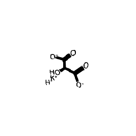 O=C([O-])C(O)C(=O)[O-].[H+].[K+]